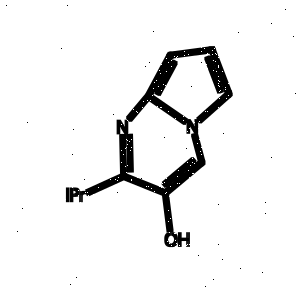 CC(C)c1nc2cccn2cc1O